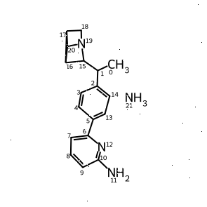 CC(c1ccc(-c2cccc(N)n2)cc1)C1C2C3CN1C32.N